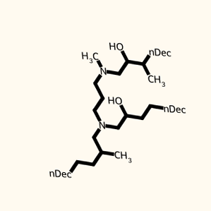 CCCCCCCCCCCCC(C)CN(CCCN(C)CC(O)C(C)CCCCCCCCCC)CC(O)CCCCCCCCCCCC